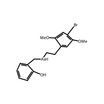 COc1cc(CC[AsH]Cc2ccccc2O)c(OC)cc1Br